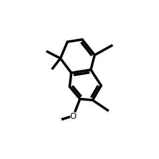 COc1cc2c(cc1C)C(C)=CCC2(C)C